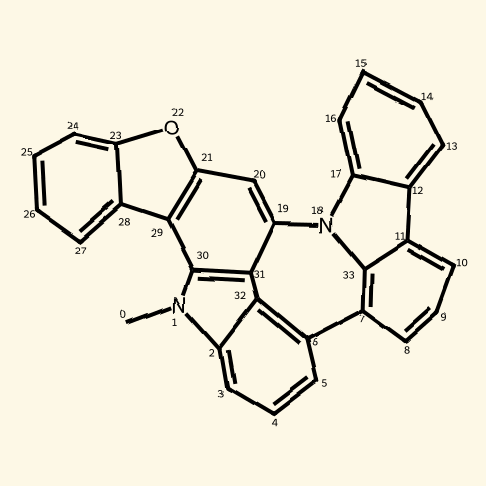 Cn1c2cccc3c4cccc5c6ccccc6n(c6cc7oc8ccccc8c7c1c6c32)c45